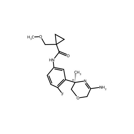 COCC1(C(=O)Nc2ccc(F)c([C@]3(C)COCC(N)=N3)c2)CC1